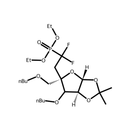 CCCCOC[C@]1(CC(F)(F)P(=O)(OCC)OCC)O[C@@H]2OC(C)(C)O[C@H]2C1OCCCC